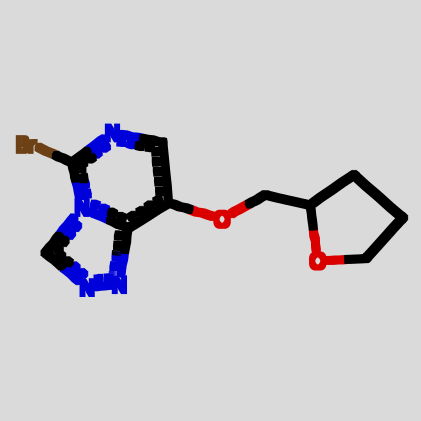 Brc1ncc(OCC2CCCO2)c2nncn12